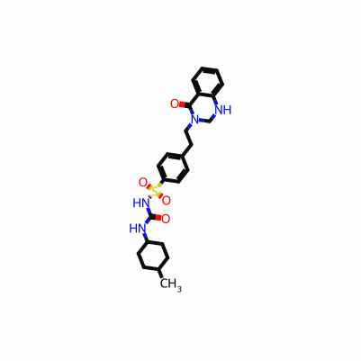 CC1CCC(NC(=O)NS(=O)(=O)c2ccc(CCN3CNc4ccccc4C3=O)cc2)CC1